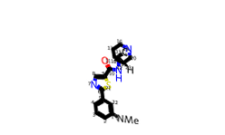 CNc1cccc(-c2ncc(C(=O)N[C@H]3CN4CCC3CC4)s2)c1